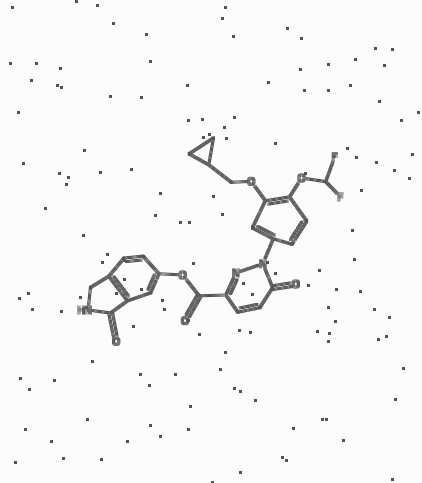 O=C(Oc1ccc2c(c1)C(=O)NC2)c1ccc(=O)n(-c2ccc(OC(F)F)c(OCC3CC3)c2)n1